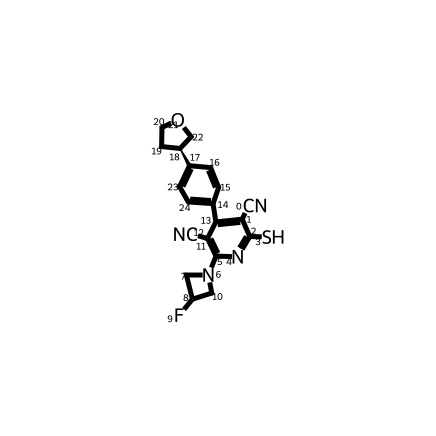 N#Cc1c(S)nc(N2CC(F)C2)c(C#N)c1-c1ccc([C@H]2CCOC2)cc1